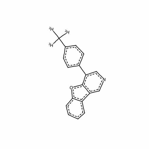 [2H]C([2H])([2H])c1ccc(-c2cncc3c2oc2ccccc23)cc1